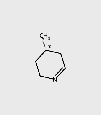 C[C@@H]1CC=NCC1